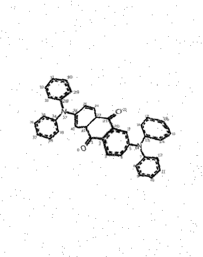 O=C1c2ccc(N(c3ccccc3)c3ccccc3)cc2C(=O)C2C=CC(N(c3ccccc3)c3ccccc3)=CC12